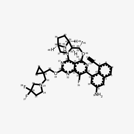 C#Cc1cccc2cc(N)cc(-c3nc4c5c(nc(OCC6(CN7CCC(F)(F)C7)CC6)nc5c3F)N3C[C@H]5CC[C@H](N5)[C@H]3[C@H](C)O4)c12